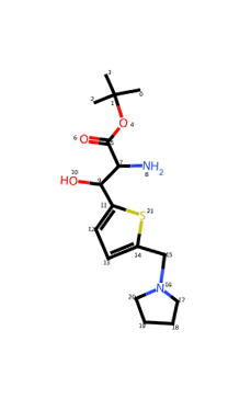 CC(C)(C)OC(=O)C(N)C(O)c1ccc(CN2CCCC2)s1